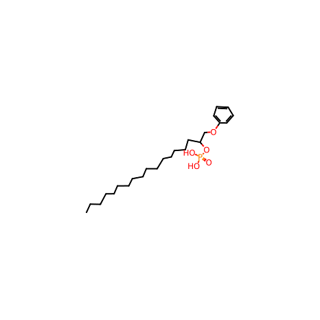 CCCCCCCCCCCCCCCCC(COc1ccccc1)OP(=O)(O)O